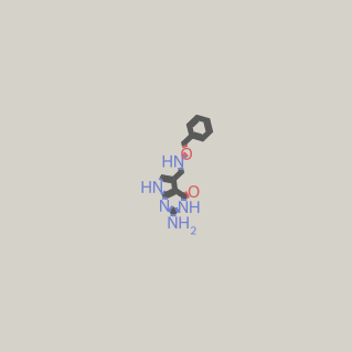 Nc1nc2[nH]cc(CNOCc3ccccc3)c2c(=O)[nH]1